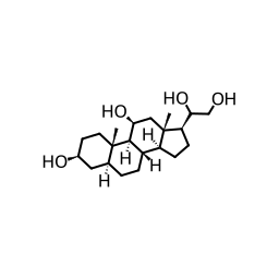 C[C@]12CC[C@H](O)C[C@@H]1CC[C@@H]1[C@@H]2[C@@H](O)C[C@]2(C)[C@@H](C(O)CO)CC[C@@H]12